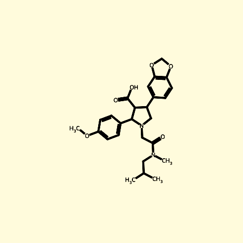 COc1ccc(C2C(C(=O)O)C(c3ccc4c(c3)OCO4)CN2CC(=O)N(C)CC(C)C)cc1